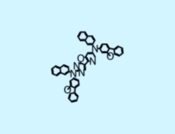 c1ccc2cc(N(c3ccc4c(c3)oc3ccccc34)c3cnc4c(c3)oc3nc(N(c5ccc6ccccc6c5)c5ccc6c(c5)oc5ccccc56)ncc34)ccc2c1